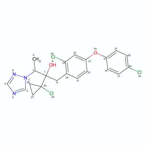 CC(n1cncn1)C(O)(Cc1ccc(Oc2ccc(Cl)cc2)cc1Cl)C1(Cl)CC1